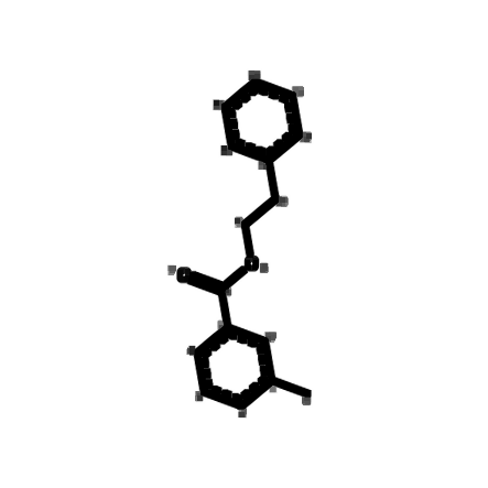 Cc1cccc(C(=O)OCCc2ccccc2)c1